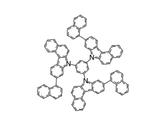 c1ccc2c(-c3ccc4c5c6ccccc6ccc5n(-c5cc(-n6c7cc(-c8cccc9ccccc89)ccc7c7c8ccccc8ccc76)cc(-n6c7cc(-c8cccc9ccccc89)ccc7c7c8ccccc8ccc76)c5)c4c3)cccc2c1